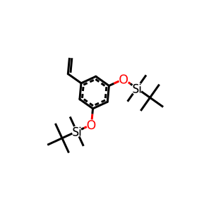 C=Cc1cc(O[Si](C)(C)C(C)(C)C)cc(O[Si](C)(C)C(C)(C)C)c1